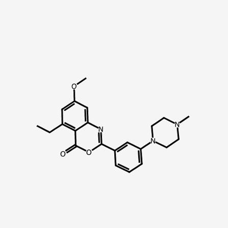 CCc1cc(OC)cc2nc(-c3cccc(N4CCN(C)CC4)c3)oc(=O)c12